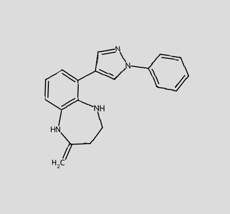 C=C1CCNc2c(cccc2-c2cnn(-c3ccccc3)c2)N1